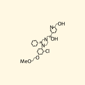 COCCOc1ccc(N2CCN(C[C@@H](O)c3ccc(CO)nc3)C[C@H]2c2ccccc2)c(Cl)c1